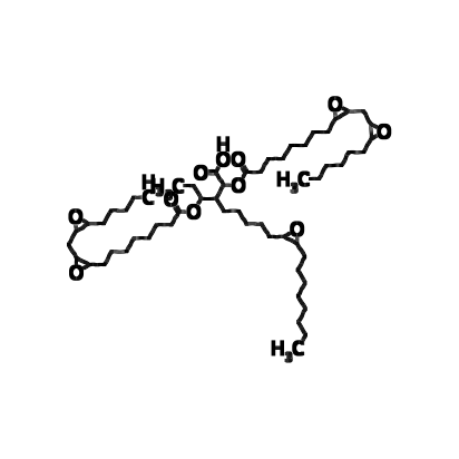 CCCCCCCCC1OC1CCCCCC(C(CC)OC(=O)CCCCCCCC1OC1CC1OC1CCCCC)C(OC(=O)CCCCCCCC1OC1CC1OC1CCCCCC)C(=O)O